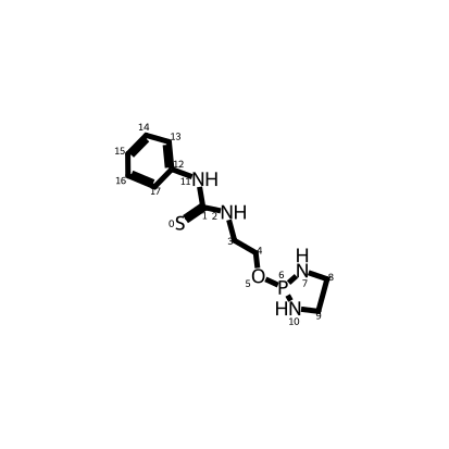 S=C(NCCOP1NCCN1)Nc1ccccc1